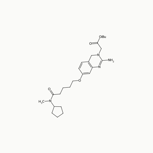 CC(C)COC(=O)CN1Cc2ccc(OCCCCC(=O)N(C)C3CCCC3)cc2N=C1N